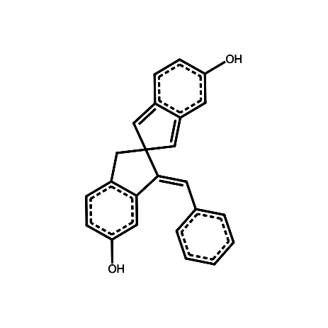 Oc1ccc2c(c1)C(=Cc1ccccc1)C1(C=c3ccc(O)cc3=C1)C2